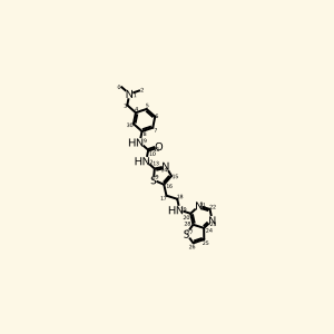 CN(C)Cc1cccc(NC(=O)Nc2ncc(CCNc3ncnc4ccsc34)s2)c1